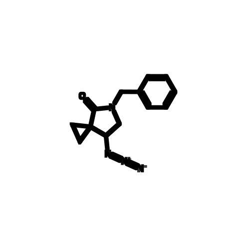 [N-]=[N+]=NC1CN(Cc2ccccc2)C(=O)C12CC2